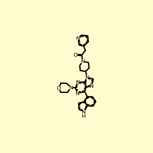 O=C(Cc1cccnc1)N1CCC(n2cnc3c(-c4cccc5[nH]ccc45)nc(N4CCOCC4)nc32)CC1